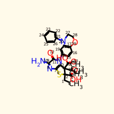 CCC1(C(=O)O)Sc2nc(N)c(=O)n(-c3ccc4c(c3)N(c3ccccc3)CCO4)c2C1(C(=O)O)C(C)(C)C